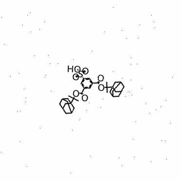 CC(C)(OC(=O)c1cc(C(=O)OC(C)(C)C23CC4CC(CC(C4)C2)C3)cc(S(=O)(=O)O)c1)C12CC3CC(CC(C3)C1)C2